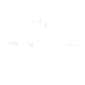 NCC(=O)O.O=Cc1cccnc1F